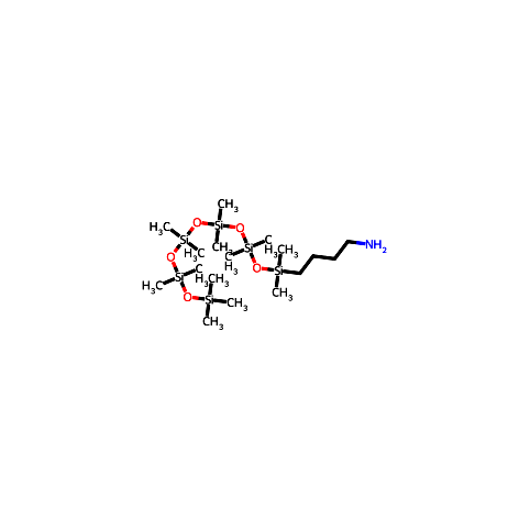 C[Si](C)(C)O[Si](C)(C)O[Si](C)(C)O[Si](C)(C)O[Si](C)(C)O[Si](C)(C)CCCCN